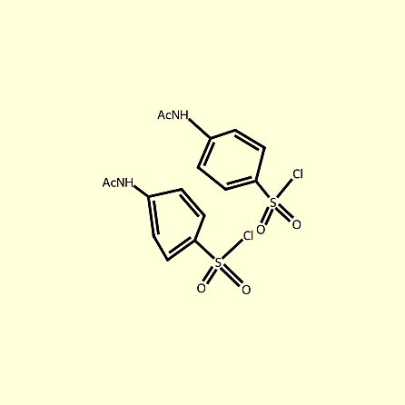 CC(=O)Nc1ccc(S(=O)(=O)Cl)cc1.CC(=O)Nc1ccc(S(=O)(=O)Cl)cc1